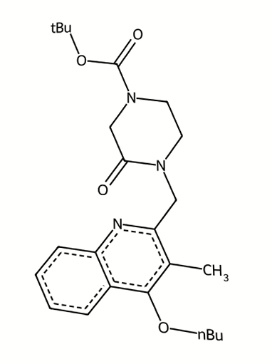 CCCCOc1c(C)c(CN2CCN(C(=O)OC(C)(C)C)CC2=O)nc2ccccc12